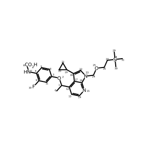 CC(Oc1ccc(NC(=O)O)c(F)c1)c1ccnc2c1c(C1CC1)cn2COCC[Si](C)(C)C